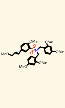 COC/C=C/c1ccc(OC)c(S(=O)(=O)N(Cc2ccc(OC)cc2OC)Cc2ccc(OC)cc2OC)c1